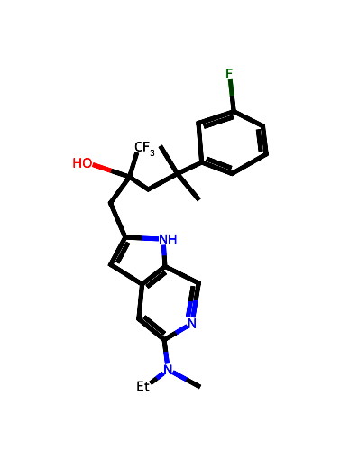 CCN(C)c1cc2cc(CC(O)(CC(C)(C)c3cccc(F)c3)C(F)(F)F)[nH]c2cn1